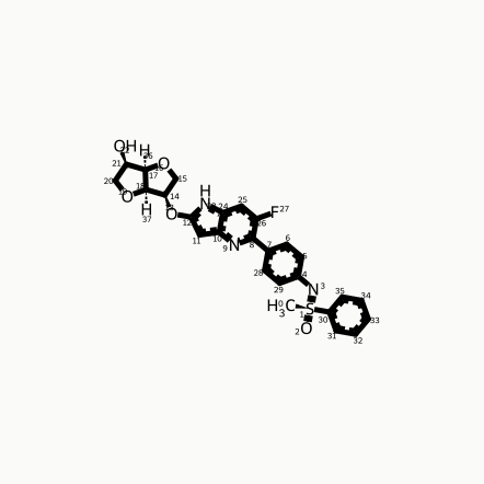 C[S@@](=O)(=Nc1ccc(-c2nc3cc(O[C@@H]4CO[C@H]5[C@@H]4OC[C@H]5O)[nH]c3cc2F)cc1)c1ccccc1